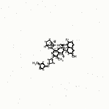 C#Cc1c(F)ccc2cc(O)cc(-c3ncc4c(N5C[C@H]6CC[C@@H](C5)N6)nc(N5CC(Oc6cnn(C)c6)C5)c(C)c4c3F)c12